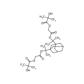 CC(C)(OC(=O)COC(=O)C(C)(O)C(F)(F)F)C12CC3CC(C1)CC(C(C)(C)OC(=O)COC(=O)C(O)(C(F)(F)F)C(F)(F)F)(C3)C2